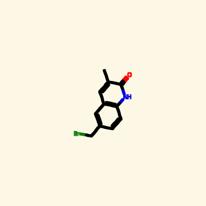 Cc1cc2cc(CBr)ccc2[nH]c1=O